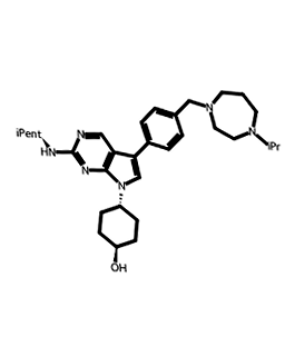 CCC[C@H](C)Nc1ncc2c(-c3ccc(CN4CCCN(C(C)C)CC4)cc3)cn([C@H]3CC[C@H](O)CC3)c2n1